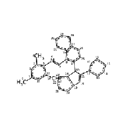 Cc1cc(C)c(N=Cc2c(C3C(c4ccccc4)=Cc4ccccc43)ccc3ccccc23)c(C)c1